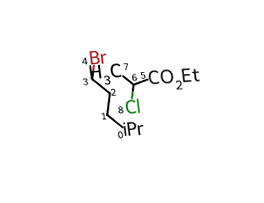 CC(C)CCCBr.CCOC(=O)C(C)Cl